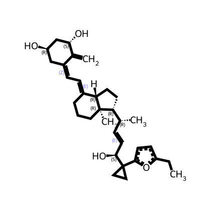 C=C1/C(=C\C=C2/CCC[C@]3(C)[C@@H]([C@H](C)/C=C/[C@H](O)C4(c5ccc(CC)o5)CC4)CC[C@@H]23)C[C@@H](O)C[C@@H]1O